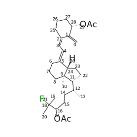 C=C1/C(=C\C=C2/CCC[C@]3(C)[C@@H]([C@H](C)CCC(OC(C)=O)C(C)(C)F)CC[C@@H]23)CCC[C@@H]1OC(C)=O